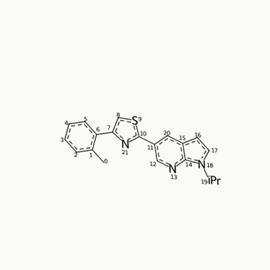 Cc1ccccc1-c1csc(-c2cnc3c(ccn3C(C)C)c2)n1